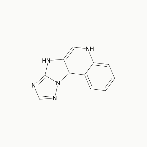 C1=C2Nc3ncnn3C2c2ccccc2N1